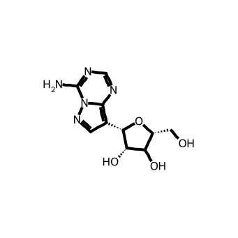 Nc1ncnc2c([C@@H]3O[C@H](CO)C(O)[C@@H]3O)cnn12